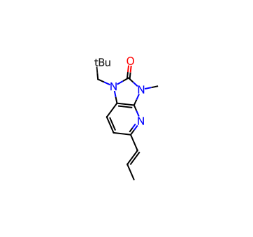 C/C=C/c1ccc2c(n1)n(C)c(=O)n2CC(C)(C)C